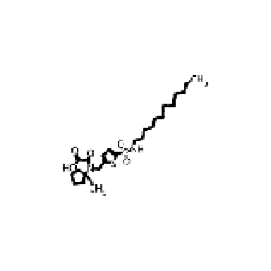 CCCCCCCCCCCCNS(=O)(=O)c1ccc(CN(C(=O)C(=O)O)C2(CC)CCCC2)s1